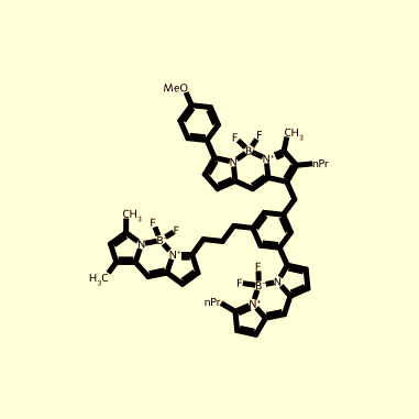 CCCC1=C(Cc2cc(CCCC3=[N+]4C(=Cc5c(C)cc(C)n5[B-]4(F)F)C=C3)cc(-c3ccc4n3[B-](F)(F)[N+]3=C(CCC)C=CC3=C4)c2)C2=Cc3ccc(-c4ccc(OC)cc4)n3[B-](F)(F)[N+]2=C1C